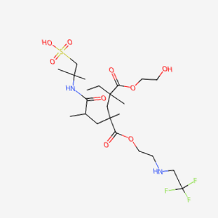 CCC(C)(CC(C)(CC(C)C(=O)NC(C)(C)CS(=O)(=O)O)C(=O)OCCNCC(F)(F)F)C(=O)OCCO